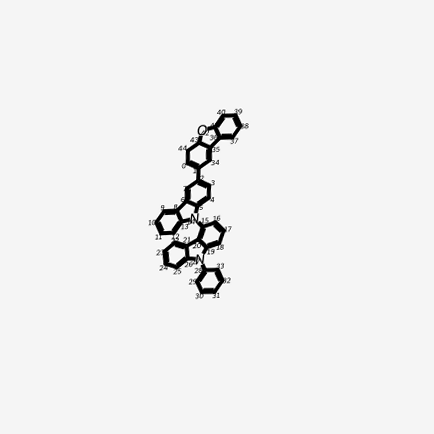 C1=C(c2ccc3c(c2)c2ccccc2n3-c2cccc3c2c2ccccc2n3-c2ccccc2)C=C2c3ccccc3OC2C1